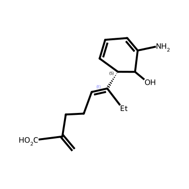 C=C(CC/C=C(\CC)[C@@H]1C=CC=C(N)C1O)C(=O)O